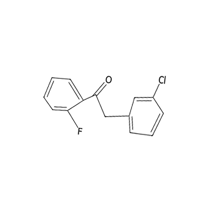 O=C(Cc1cccc(Cl)c1)c1ccccc1F